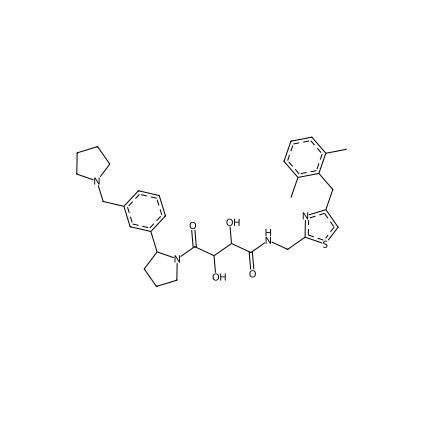 Cc1cccc(C)c1Cc1csc(CNC(=O)C(O)C(O)C(=O)N2CCCC2c2cccc(CN3CCCC3)c2)n1